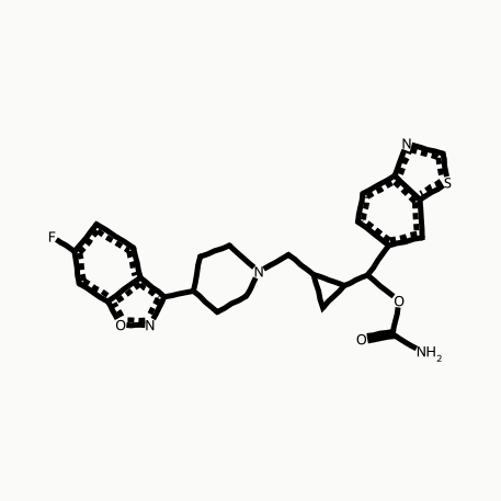 NC(=O)OC(c1ccc2ncsc2c1)C1CC1CN1CCC(c2noc3cc(F)ccc23)CC1